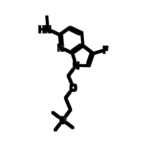 CNc1ccc2c(F)cn(COCC[Si](C)(C)C)c2n1